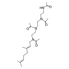 CC(=O)NCCN(CCN(CCN(C/C=C(\C)CCC=C(C)C)C(C)=O)C(C)=O)C(C)=O